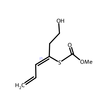 C=C/C=C(/CCO)SC(=O)OC